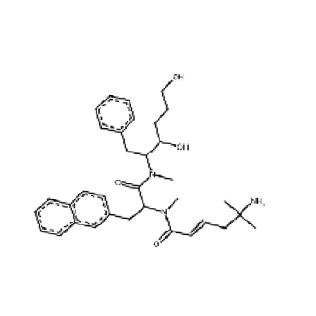 CN(C(=O)/C=C/CC(C)(C)N)C(Cc1ccc2ccccc2c1)C(=O)N(C)C(Cc1ccccc1)C(O)CCCO